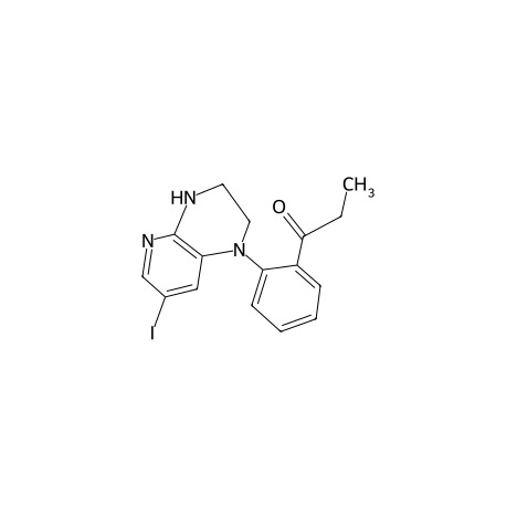 CCC(=O)c1ccccc1N1CCNc2ncc(I)cc21